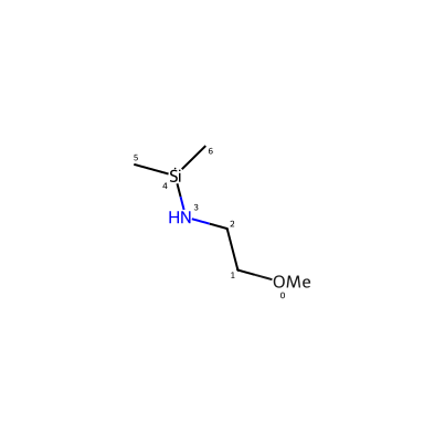 COCCN[Si](C)C